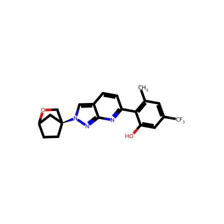 Cc1cc(C(F)(F)F)cc(O)c1-c1ccc2cn([C@@]34CCC(C3)OC4)nc2n1